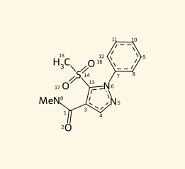 CNC(=O)c1cnn(-c2ccccc2)c1S(C)(=O)=O